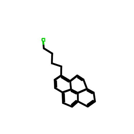 ClCCCCc1ccc2ccc3cccc4ccc1c2c34